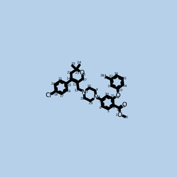 COC(=O)c1ccc(N2CCN(CC3=C(c4ccc(Cl)cc4)CC(C)(C)OC3)CC2)cc1Oc1cccc(I)c1